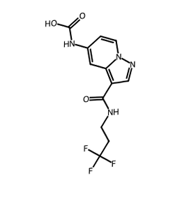 O=C(O)Nc1ccn2ncc(C(=O)NCCC(F)(F)F)c2c1